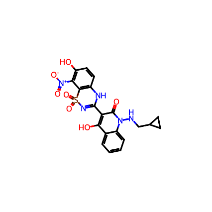 O=c1c(C2=NS(=O)(=O)c3c(ccc(O)c3[N+](=O)[O-])N2)c(O)c2ccccc2n1NCC1CC1